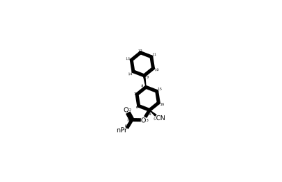 CCCC(=O)O[C@]1(C#N)CC[C@@H](C2CCCCC2)CC1